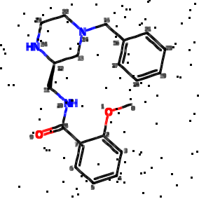 COc1ccccc1C(=O)NC[C@@H]1CN(Cc2ccccc2)CCN1